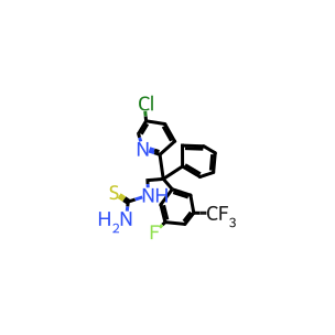 NC(=S)NCC(c1ccccc1)(c1cc(F)cc(C(F)(F)F)c1)c1ccc(Cl)cn1